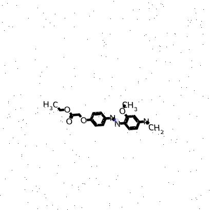 C=Nc1ccc(/N=N/c2ccc(OCC(=O)OCC)cc2)c(OC)c1